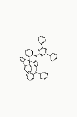 c1ccc(-c2nc(-c3ccccc3)nc(N3c4ccccc4C4(c5ccccc5-c5ccccc54)c4cc(N(c5ccccc5)c5ccccc5)ccc43)n2)cc1